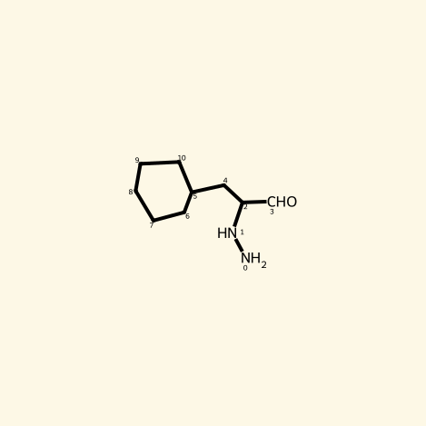 NNC(C=O)CC1CCCCC1